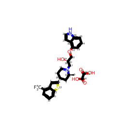 C[C@H]1C[C@H](c2cc3c(C(F)(F)F)cccc3s2)CCN1C[C@H](O)COc1cccc2[nH]ccc12.O=C(O)C(=O)O